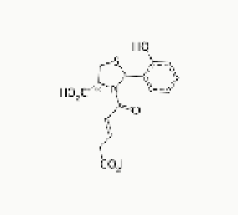 O=C(O)CC=CC(=O)N1C(c2ccccc2O)SC[C@H]1C(=O)O